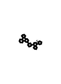 c1cc(-c2ccc3c4ccccc4c4ccccc4c3c2)cc(-c2cc3sc4ccccc4c3c3ccccc23)c1